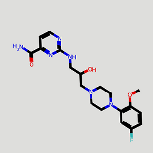 COc1ccc(F)cc1N1CCN(CC(O)CNc2nccc(C(N)=O)n2)CC1